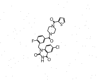 O=C(c1ccc(F)c(Cn2c(=O)[nH]c(=O)c3cc(Cl)ccc32)c1)N1CCN(C(=O)c2cccs2)CC1